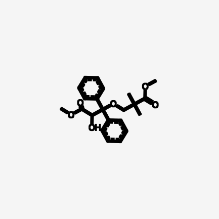 COC(=O)C(O)C(OCC(C)(C)C(=O)OC)(c1ccccc1)c1ccccc1